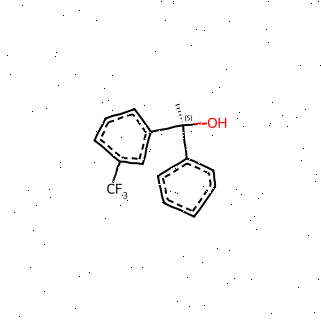 C[C@](O)(c1ccccc1)c1cccc(C(F)(F)F)c1